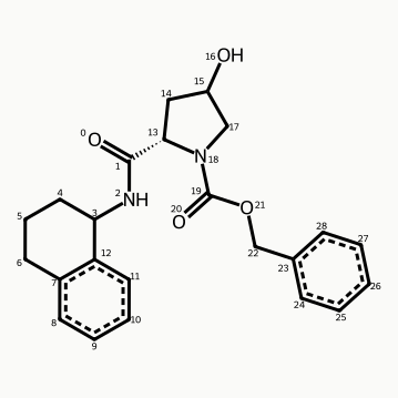 O=C(NC1CCCc2ccccc21)[C@@H]1CC(O)CN1C(=O)OCc1ccccc1